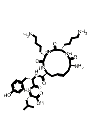 CC(C)C[C@H](NC(=O)[C@H](Cc1ccc(O)cc1)NC(=O)[C@@H]1C/C=C/C[C@H](N)C(=O)N[C@@H](CCCCN)C(=O)N[C@@H](CCCCN)C(=O)N1)C(=O)O